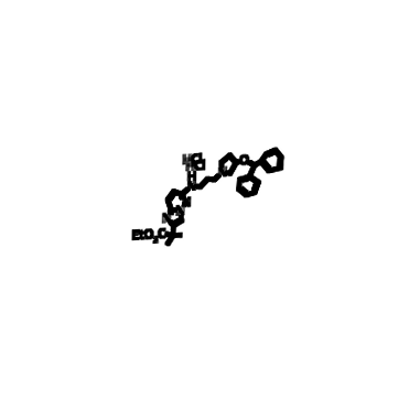 CCOC(=O)C(C)(C)c1cn2nc(NCCCN3CCC(OC(c4ccccc4)c4ccccc4)C3)ccc2n1.Cl.Cl